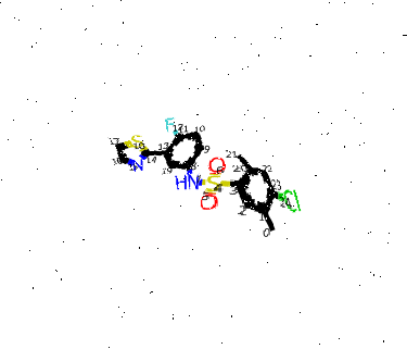 Cc1cc(S(=O)(=O)Nc2ccc(F)c(-c3nccs3)c2)c(C)cc1Cl